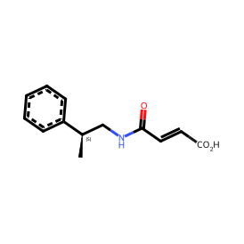 C[C@H](CNC(=O)C=CC(=O)O)c1ccccc1